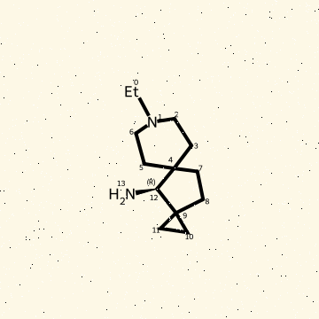 CCN1CCC2(CC1)CCC1(CC1)[C@H]2N